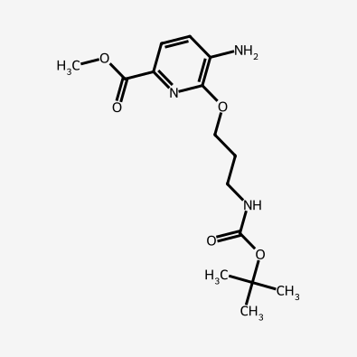 COC(=O)c1ccc(N)c(OCCCNC(=O)OC(C)(C)C)n1